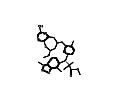 CC[C@@H]1CN(Cc2cc([C@@H](c3ccc4c(nnn4C)c3C)C(C)(C)C(=O)OC)ccc2C)Cc2nc(O)ccc2O1